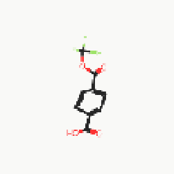 O=C(O)c1ccc(C(=O)OC(F)(F)F)cc1